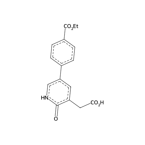 CCOC(=O)c1ccc(-c2c[nH]c(=O)c(CC(=O)O)c2)cc1